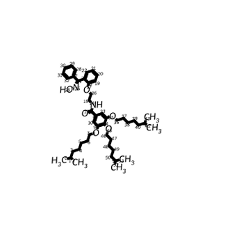 CC(C)CCCCCOc1cc(C(=O)NCCOc2ccccc2C(=NO)c2ccccc2)cc(OCCCCCC(C)C)c1OCCCCCC(C)C